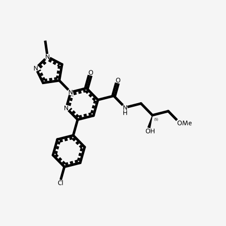 COC[C@@H](O)CNC(=O)c1cc(-c2ccc(Cl)cc2)nn(-c2cnn(C)c2)c1=O